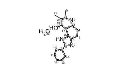 Cc1nc2ccc3nc(-c4ccccc4)[nH]c3c2c(O)c1C.O